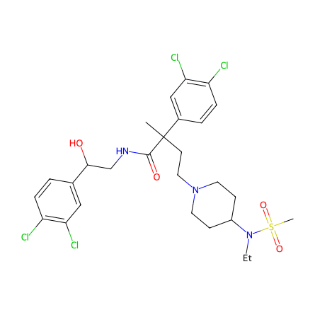 CCN(C1CCN(CCC(C)(C(=O)NCC(O)c2ccc(Cl)c(Cl)c2)c2ccc(Cl)c(Cl)c2)CC1)S(C)(=O)=O